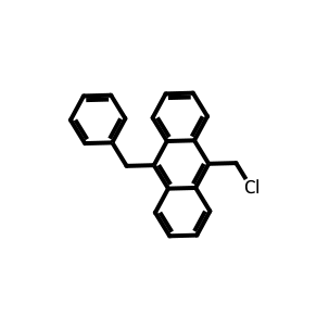 ClCc1c2ccccc2c(Cc2ccccc2)c2ccccc12